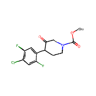 CC(C)(C)OC(=O)N1CCC(c2cc(F)c(Cl)cc2F)C(=O)C1